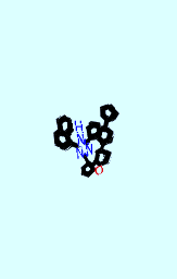 c1ccc(C2=NC(c3cccc4oc5ccc(-c6ccc(-c7ccccc7)cc6)cc5c34)=NC(c3cccc4ccccc34)N2)cc1